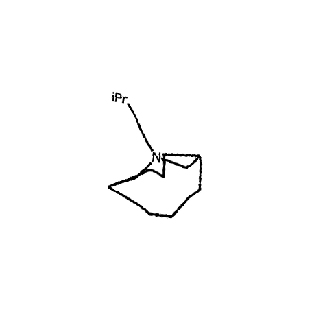 CC(C)N1CC2CCCC(CCC2)C1